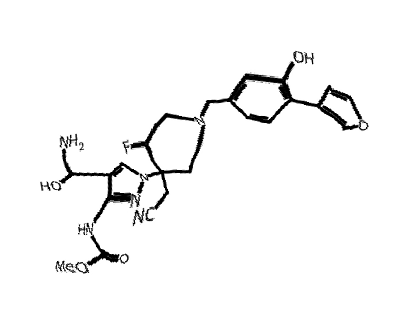 COC(=O)Nc1nn(C2(CC#N)CCN(Cc3ccc(-c4ccoc4)c(O)c3)CC2F)cc1C(N)O